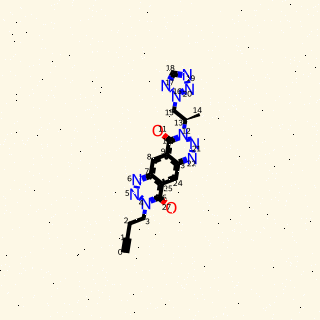 C#CCCn1nnc2cc3c(=O)n([C@H](C)Cn4ncnn4)nnc3cc2c1=O